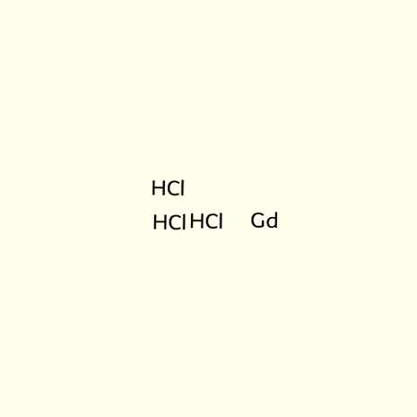 Cl.Cl.Cl.[Gd]